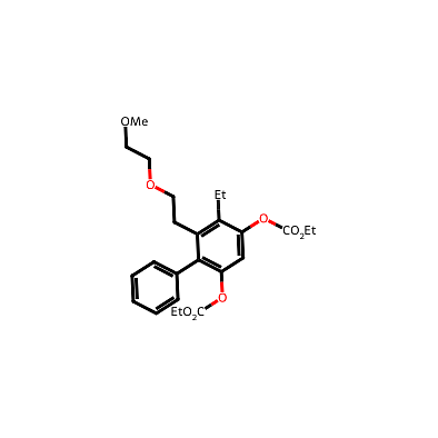 CCOC(=O)Oc1cc(OC(=O)OCC)c(-c2ccccc2)c(CCOCCOC)c1CC